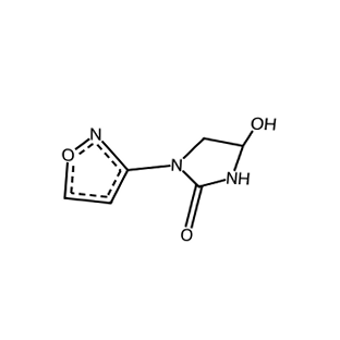 O=C1NC(O)CN1c1ccon1